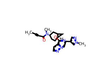 CC#CC(=O)N(C)[C@H]1CC[C@@H]2C[C@]2(Oc2nc(-c3cnn(C)c3)cn3nccc23)C1